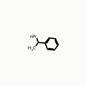 [CH2]CCC([CH2])c1ccccc1